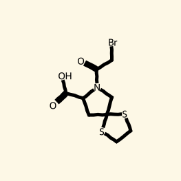 O=C(O)C1CC2(CN1C(=O)CBr)SCCS2